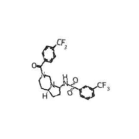 O=C(c1ccc(C(F)(F)F)cc1)N1CC[C@@H]2CC[C@H](NS(=O)(=O)c3cccc(C(F)(F)F)c3)N2C1